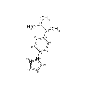 CC(C)N(C)c1ccc(-n2cccn2)cc1